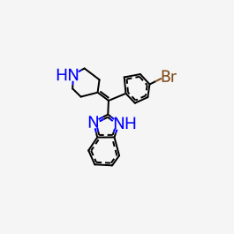 Brc1ccc(C(=C2CCNCC2)c2nc3ccccc3[nH]2)cc1